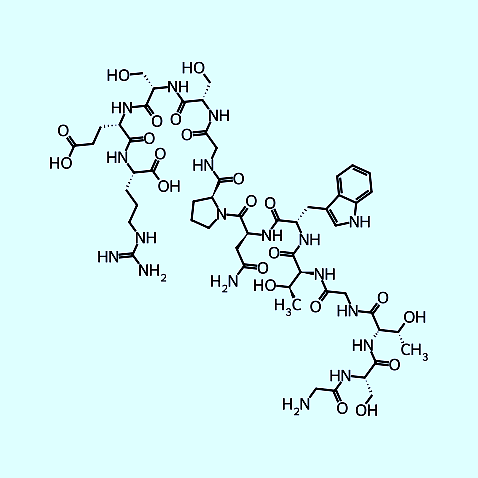 C[C@@H](O)[C@H](NC(=O)CNC(=O)[C@@H](NC(=O)[C@H](CO)NC(=O)CN)[C@@H](C)O)C(=O)N[C@@H](Cc1c[nH]c2ccccc12)C(=O)N[C@@H](CC(N)=O)C(=O)N1CCC[C@H]1C(=O)NCC(=O)N[C@@H](CO)C(=O)N[C@@H](CO)C(=O)N[C@@H](CCC(=O)O)C(=O)N[C@@H](CCCNC(=N)N)C(=O)O